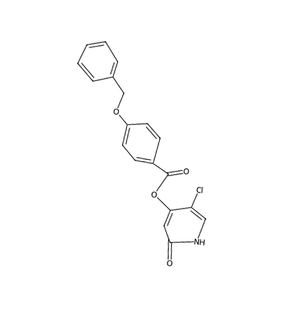 O=C(Oc1cc(=O)[nH]cc1Cl)c1ccc(OCc2ccccc2)cc1